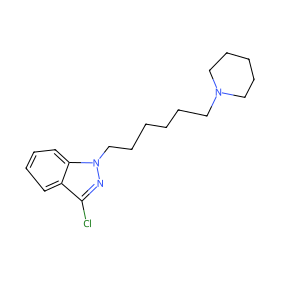 Clc1nn(CCCCCCN2CCCCC2)c2ccccc12